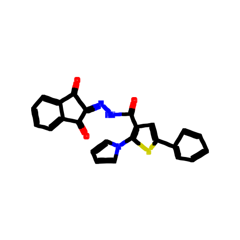 O=C(NN=c1c(=O)c2ccccc2c1=O)c1cc(-c2ccccc2)sc1-n1cccc1